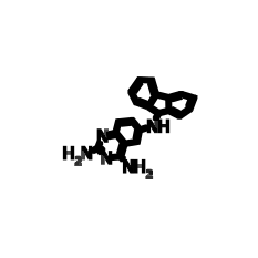 Nc1nc(N)c2cc(NC3c4ccccc4-c4ccccc43)ccc2n1